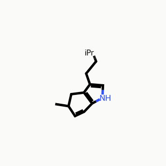 CC(C)CCc1c[nH]c2c1CC(C)C=C2